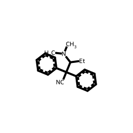 CCC(N(C)C)C(C#N)(c1ccccc1)c1ccccc1